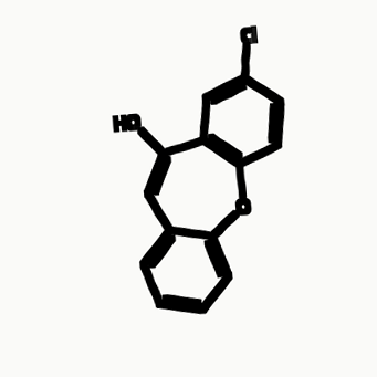 OC1=Cc2ccccc2Oc2ccc(Cl)cc21